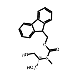 CN(C(=O)OCC1c2ccccc2-c2ccccc21)[C@@H](CO)C(=O)O